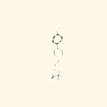 COc1ccc(C2CCN(CC[C@H]3CC(C)(C)C(=O)O3)CC2)cc1